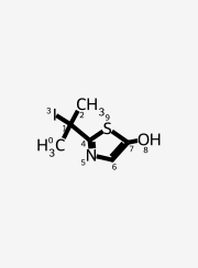 CC(C)(I)c1ncc(O)s1